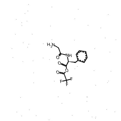 NCC(=O)N[C@@H](Cc1ccccc1)C(=O)OC(=O)C(F)(F)F